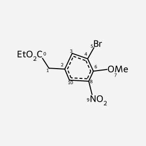 CCOC(=O)Cc1cc(Br)c(OC)c([N+](=O)[O-])c1